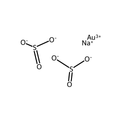 O=S([O-])[O-].O=S([O-])[O-].[Au+3].[Na+]